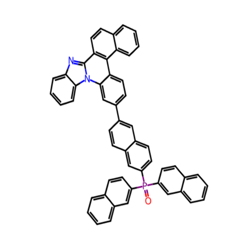 O=P(c1ccc2ccccc2c1)(c1ccc2ccccc2c1)c1ccc2cc(-c3ccc4c5c6ccccc6ccc5c5nc6ccccc6n5c4c3)ccc2c1